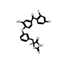 CCCc1cc(C(=O)c2ccc(Cl)cc2F)ccc1Oc1cccc(C[C@@]2(C)OC(=O)NC2=O)c1